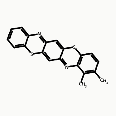 Cc1ccc2c(c1C)N=c1cc3c(cc1S2)=Nc1ccccc1S3